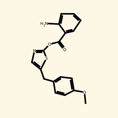 COc1ccc(Cc2cnc(OC(=O)c3ccccc3N)s2)cc1